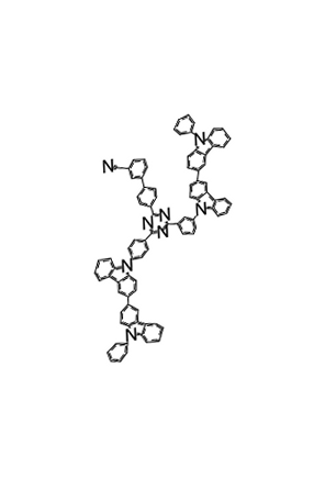 N#Cc1cccc(-c2ccc(-c3nc(-c4ccc(-n5c6ccccc6c6cc(-c7ccc8c(c7)c7ccccc7n8-c7ccccc7)ccc65)cc4)nc(-c4cccc(-n5c6ccccc6c6cc(-c7ccc8c(c7)c7ccccc7n8-c7ccccc7)ccc65)c4)n3)cc2)c1